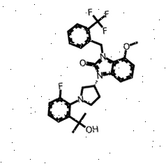 COc1cccc2c1n(Cc1ccccc1C(F)(F)F)c(=O)n2[C@@H]1CCN(c2c(F)cccc2C(C)(C)O)C1